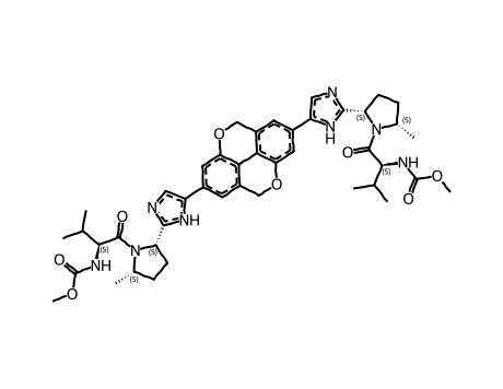 COC(=O)N[C@H](C(=O)N1[C@@H](C)CC[C@H]1c1ncc(-c2cc3c4c(c2)OCc2cc(-c5cnc([C@@H]6CC[C@H](C)N6C(=O)[C@@H](NC(=O)OC)C(C)C)[nH]5)cc(c2-4)OC3)[nH]1)C(C)C